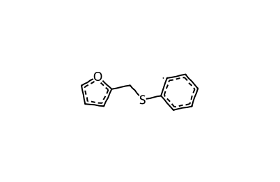 [c]1ccccc1SCc1ccco1